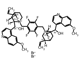 C=C[C@@H]1C[N+]2(Cc3c(F)c(F)c(C[N+]45CCC(C[C@H]4[C@H](O)c4ccnc6ccc(OC)cc46)[C@@H](C=C)C5)c(F)c3F)CCC1C[C@H]2[C@H](O)c1ccnc2ccc(OC)cc12.[Br-].[Br-]